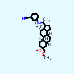 COC[C@@]1(O)CC[C@H]2[C@H](CC[C@H]3C4CC[C@H]([C@@H](C)Nc5cccc(C#N)c5)[C@@]4(C)CC[C@H]23)C1